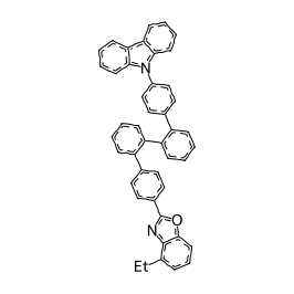 CCc1cccc2oc(-c3ccc(-c4ccccc4-c4ccccc4-c4ccc(-n5c6ccccc6c6ccccc65)cc4)cc3)nc12